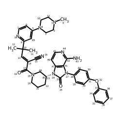 CN1CCN(c2ccnc(C(C)(C)C=C(C#N)C(=O)N3CCC[C@@H](n4c(=O)n(-c5ccc(Oc6ccccc6)cc5)c5c(N)nccc54)C3)c2)CC1